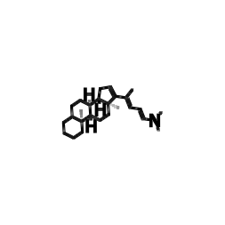 CC(=CC=CN(C)C)C1=CC[C@H]2[C@@H]3CCC4CCCC[C@]4(C)[C@H]3CC[C@]12C